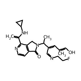 C=C(NC1CC1)c1nccc2c1CN(C(C)C(/C=N\CCF)=C/C(C)=C/O)C2=O